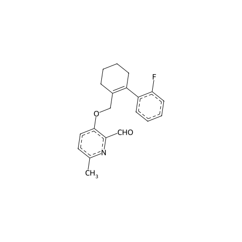 Cc1ccc(OCC2=C(c3ccccc3F)CCCC2)c(C=O)n1